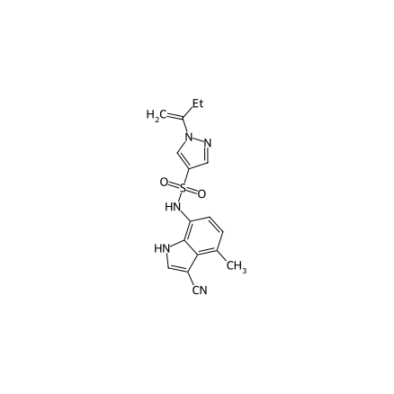 C=C(CC)n1cc(S(=O)(=O)Nc2ccc(C)c3c(C#N)c[nH]c23)cn1